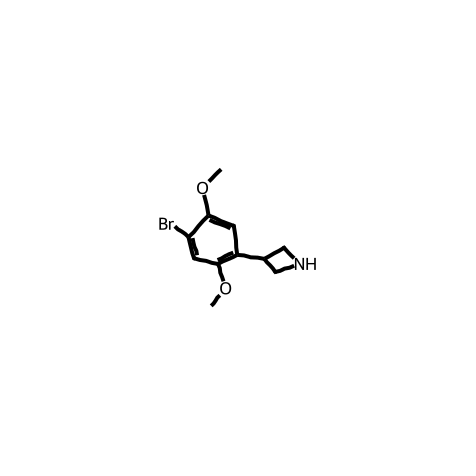 COc1cc(C2CNC2)c(OC)cc1Br